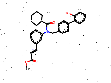 COC(=O)/C=C/c1cccc(N(Cc2ccc(-c3ccccc3O)cc2)C(=O)C2CCCCC2)c1